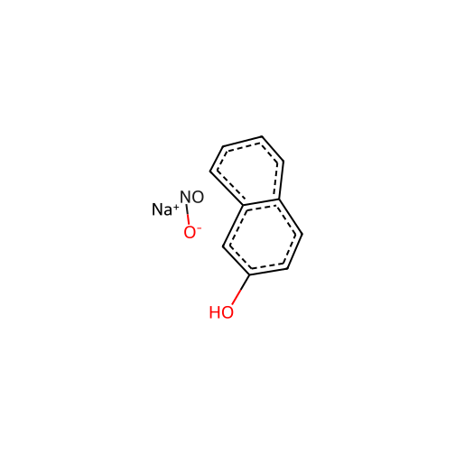 O=N[O-].Oc1ccc2ccccc2c1.[Na+]